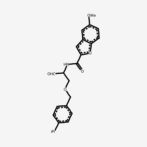 COc1ccc2oc(C(=O)NC(C=O)COCc3ccc(C(C)C)cc3)cc2c1